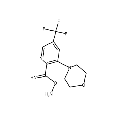 N=C(ON)c1ncc(C(F)(F)F)cc1N1CCOCC1